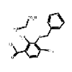 Cc1ccc(C(N)=O)c([N+](=O)[O-])c1OCc1ccccc1.NCC(=O)O